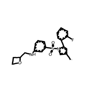 [CH2]c1cc(-c2ccccc2F)n(S(=O)(=O)c2cccc(NCC3CCO3)c2)c1